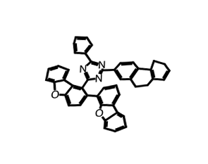 C1=CC2=C(CC1)c1ccc(-c3nc(-c4ccccc4)nc(-c4c(-c5cccc6c5oc5ccccc56)ccc5oc6ccccc6c45)n3)cc1CC2